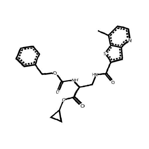 Cc1ccnc2cc(C(=O)NCC(NC(=O)OCc3ccccc3)C(=O)OC3CC3)sc12